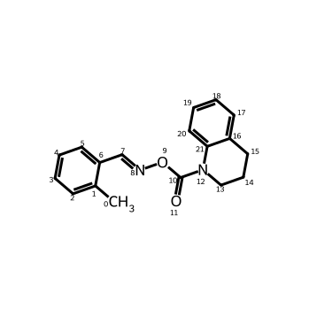 Cc1ccccc1C=NOC(=O)N1CCCc2ccccc21